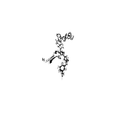 CC(C)(C)OC(=O)N1CC[C@]2(C1)C[C@H](n1nc(-c3cnn(Cc4cccc(F)c4)c3)c(C#N)c1N)C2